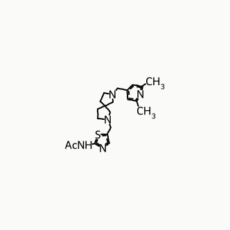 CC(=O)Nc1ncc(CN2CCC3(CCN(Cc4cc(C)nc(C)c4)C3)C2)s1